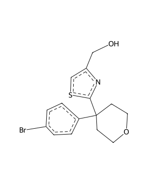 OCc1csc(C2(c3ccc(Br)cc3)CCOCC2)n1